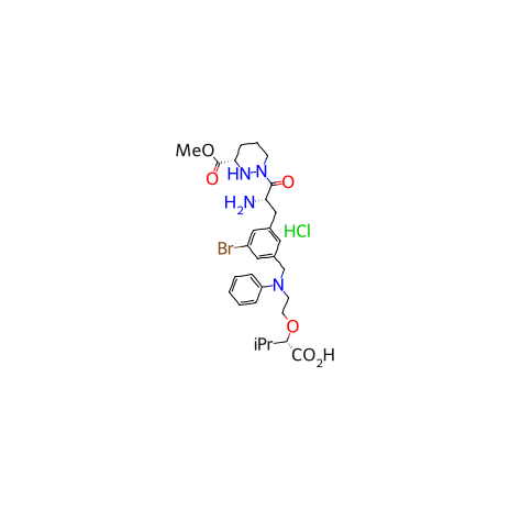 COC(=O)[C@@H]1CCCN(C(=O)[C@@H](N)Cc2cc(Br)cc(CN(CCO[C@H](C(=O)O)C(C)C)c3ccccc3)c2)N1.Cl